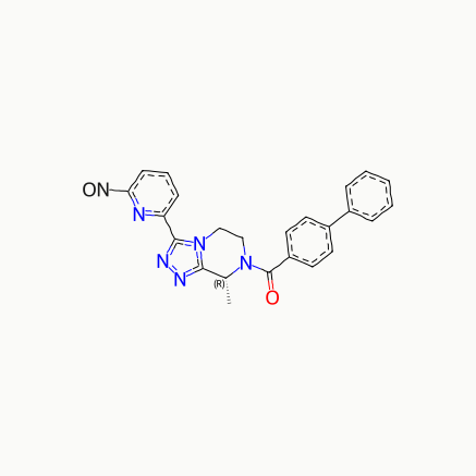 C[C@@H]1c2nnc(-c3cccc(N=O)n3)n2CCN1C(=O)c1ccc(-c2ccccc2)cc1